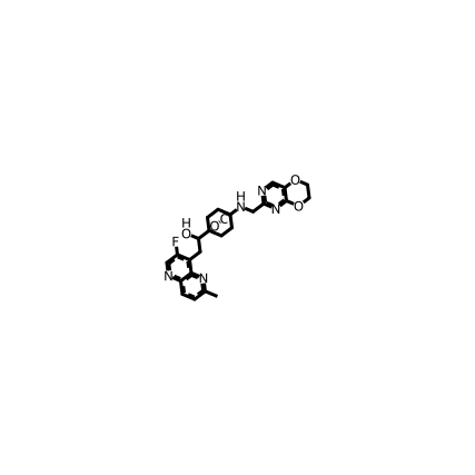 Cc1ccc2ncc(F)c(CC(O)C34CCC(NCc5ncc6c(n5)OCCO6)(CC3)CO4)c2n1